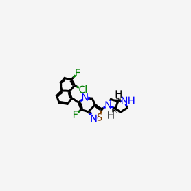 Fc1ccc2cccc(-c3ncc4c(N5C[C@H]6NCC[C@H]65)snc4c3F)c2c1Cl